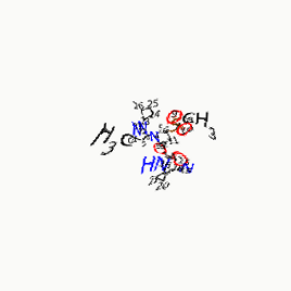 Cc1cc(N2C[C@H](S(C)(=O)=O)C[C@@H]2OC(=O)NC2(C#N)CC2)n(C2CCC2)n1